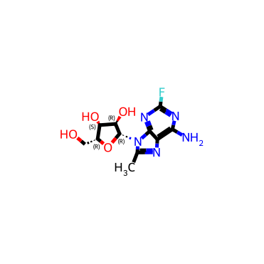 Cc1nc2c(N)nc(F)nc2n1[C@@H]1O[C@H](CO)[C@@H](O)[C@H]1O